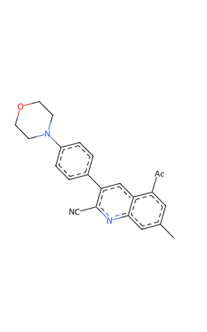 CC(=O)c1cc(C)cc2nc(C#N)c(-c3ccc(N4CCOCC4)cc3)cc12